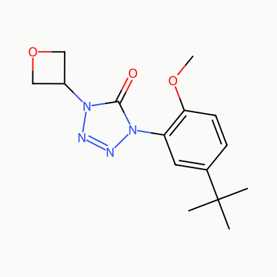 COc1ccc(C(C)(C)C)cc1-n1nnn(C2COC2)c1=O